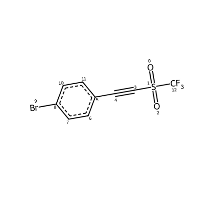 O=S(=O)(C#Cc1ccc(Br)cc1)C(F)(F)F